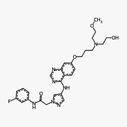 COCCN(CCO)CCCOc1ccc2c(Nc3cnn(CC(=O)Nc4cccc(F)c4)c3)ncnc2c1